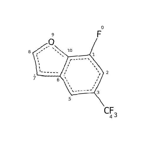 Fc1cc(C(F)(F)F)cc2[c]coc12